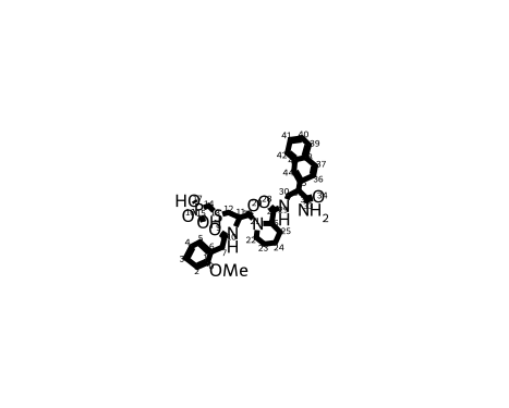 COc1ccccc1CC(=O)NC(CSCP(=O)(O)O)C(=O)N1CCCCC1C(=O)NCC(C(N)=O)c1ccc2ccccc2c1